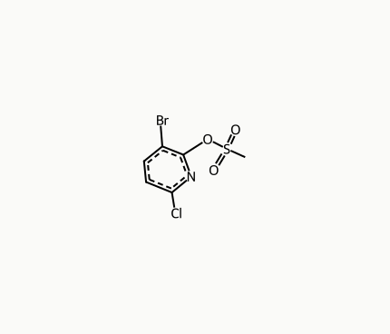 CS(=O)(=O)Oc1nc(Cl)ccc1Br